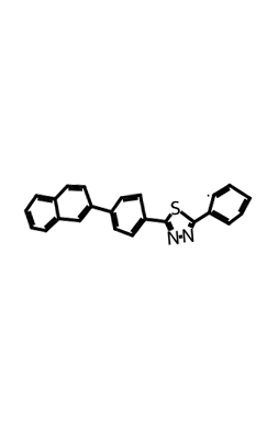 [c]1ccccc1-c1nnc(-c2ccc(-c3ccc4ccccc4c3)cc2)s1